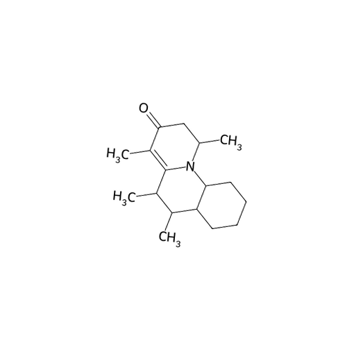 CC1=C2C(C)C(C)C3CCCCC3N2C(C)CC1=O